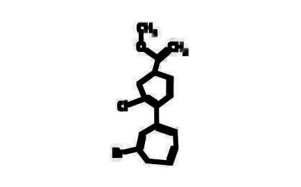 C=C(OC)C1C=CC(C2=CC=CCC(Br)=C2)=C(Cl)C1